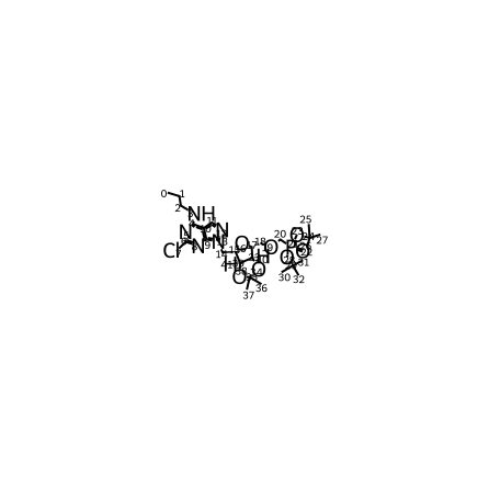 CCCNc1nc(Cl)nc2c1cnn2C[C@H]1O[C@H](COCP(=O)(OC(C)(C)C)OC(C)(C)C)[C@H]2OC(C)(C)O[C@H]21